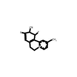 Cc1cc[n+]2c(c1)C1=C(C=C(F)C(C#N)C1F)CC2